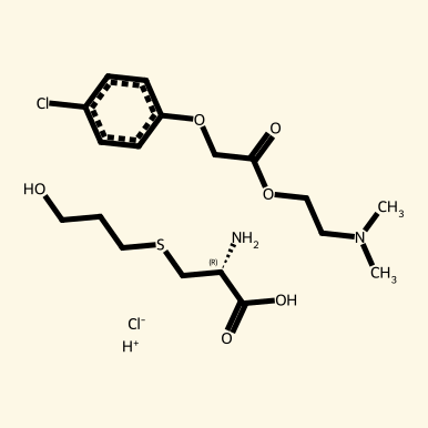 CN(C)CCOC(=O)COc1ccc(Cl)cc1.N[C@@H](CSCCCO)C(=O)O.[Cl-].[H+]